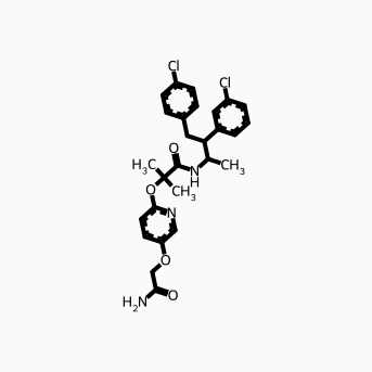 CC(NC(=O)C(C)(C)Oc1ccc(OCC(N)=O)cn1)C(Cc1ccc(Cl)cc1)c1cccc(Cl)c1